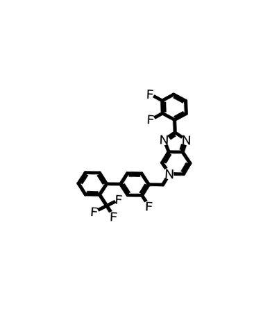 Fc1cc(-c2ccccc2C(F)(F)F)ccc1Cn1ccc2nc(-c3cccc(F)c3F)nc-2c1